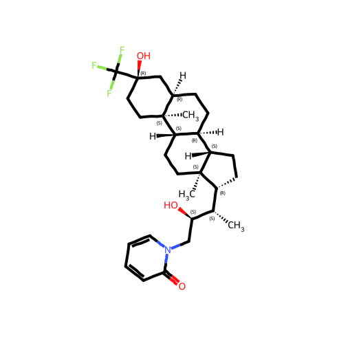 C[C@H]([C@H](O)Cn1ccccc1=O)[C@H]1CC[C@H]2[C@@H]3CC[C@@H]4C[C@@](O)(C(F)(F)F)CC[C@]4(C)[C@H]3CC[C@]12C